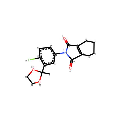 CC1(c2cc(N3C(=O)C4=C(CCCC4)C3=O)ccc2F)OCCO1